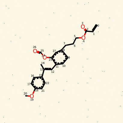 C=CC(=O)OCCCc1ccc(/C=C(\C)c2ccc(OC)cc2)c(OC=O)c1